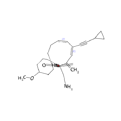 C=C1/C=C(C#CC2CC2)\C=C/CCC2(CCC(OC)CC2)C12N=C(N)NC2=O